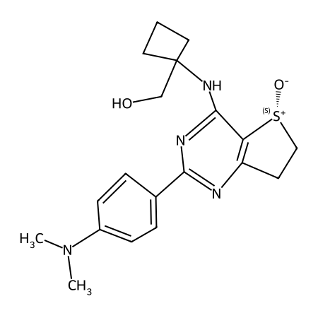 CN(C)c1ccc(-c2nc3c(c(NC4(CO)CCC4)n2)[S@+]([O-])CC3)cc1